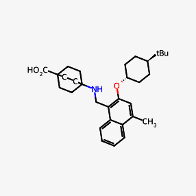 Cc1cc(O[C@H]2CC[C@H](C(C)(C)C)CC2)c(CNC23CCC(C(=O)O)(CC2)CC3)c2ccccc12